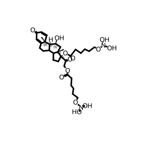 C[C@]12C=CC(=O)C=C1CCC1C3CC[C@](OC(=O)CCCCCON(O)O)(C(=O)COC(=O)CCCCCON(O)O)[C@@]3(C)C[C@H](O)[C@@H]12